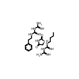 CCCCNC(=N)NC(=N)N.N=C(N)NC(=N)NCCc1ccccc1.O=C1CSC(=O)N1